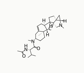 CC(=O)N[C@H](C(=O)N(C)[C@H]1CC[C@@]2(C)C(=CC[C@H]3[C@@H]4CC[C@]56C[C@@H]5N(C)C[C@]46CC[C@@H]32)C1)C(C)C